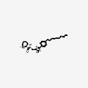 CCCCCCCCCCc1ccc(-c2noc(CNC(=O)[C@H]3CCCCN3)n2)cc1